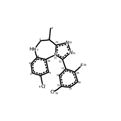 CC1CNc2ccc(Cl)cc2-n2c(-c3cc(Cl)ccc3F)nnc21